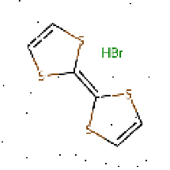 Br.C1=CSC(=C2SC=CS2)S1